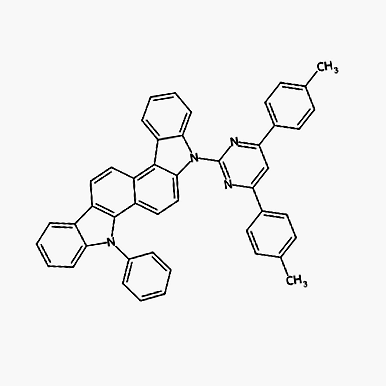 Cc1ccc(-c2cc(-c3ccc(C)cc3)nc(-n3c4ccccc4c4c5ccc6c7ccccc7n(-c7ccccc7)c6c5ccc43)n2)cc1